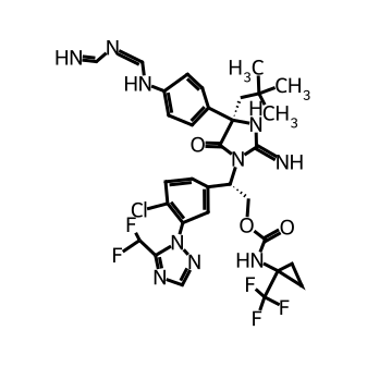 CC(C)(C)C[C@]1(c2ccc(N/C=N\C=N)cc2)NC(=N)N([C@H](COC(=O)NC2(C(F)(F)F)CC2)c2ccc(Cl)c(-n3ncnc3C(F)F)c2)C1=O